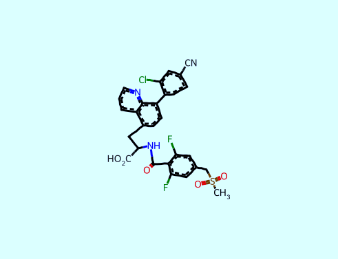 CS(=O)(=O)Cc1cc(F)c(C(=O)NC(Cc2ccc(-c3ccc(C#N)cc3Cl)c3ncccc23)C(=O)O)c(F)c1